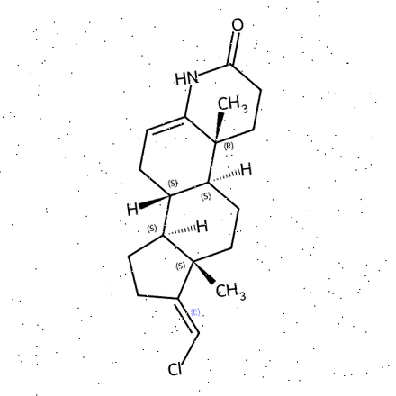 C[C@]12CCC(=O)NC1=CC[C@@H]1[C@@H]2CC[C@]2(C)/C(=C/Cl)CC[C@@H]12